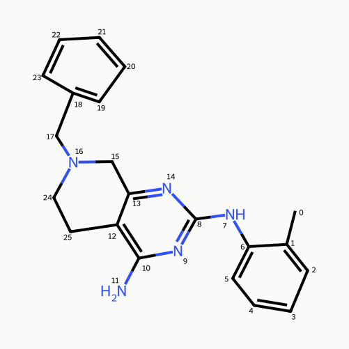 Cc1ccccc1Nc1nc(N)c2c(n1)CN(Cc1ccccc1)CC2